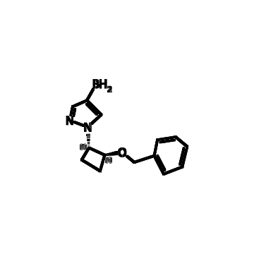 Bc1cnn([C@H]2CC[C@@H]2OCc2ccccc2)c1